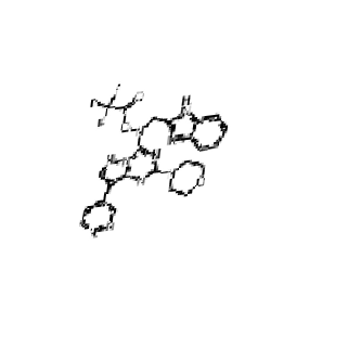 O=C(ON(Cc1nc2ccccc2[nH]1)c1nc(N2CCOCC2)nc2c(-c3ccnnc3)cnn12)C(F)(F)F